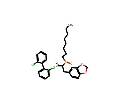 CCCCCCCC[S+]([O-])C(C)Cc1ccc2c(c1)OCO2.Clc1ccccc1-c1ccccc1Cl